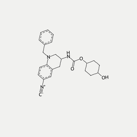 [C-]#[N+]c1ccc2c(c1)CC(NC(=O)OC1CCC(O)CC1)CN2Cc1ccccc1